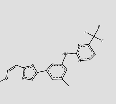 CO/C=C\c1ncc(-c2cc(C)cc(Nc3nccc(C(F)(F)F)n3)c2)s1